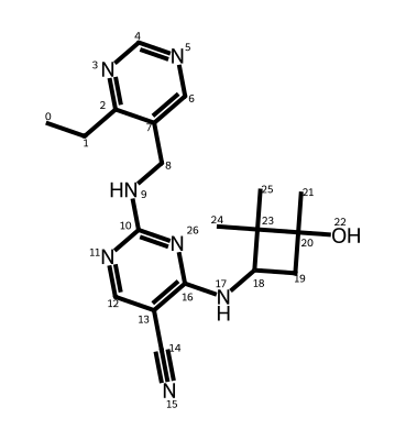 CCc1ncncc1CNc1ncc(C#N)c(NC2CC(C)(O)C2(C)C)n1